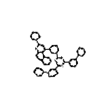 c1ccc(-c2cccc(-c3nc(-c4cccc(-c5ccccc5)c4)nc(-c4cccc(-c5cc(-c6ccccc6)nc6ccc7ccccc7c56)c4)n3)c2)cc1